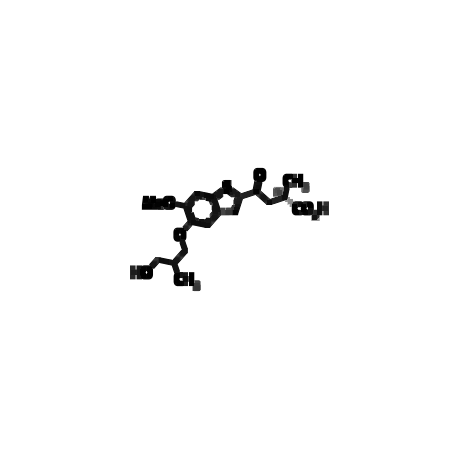 COc1cc2sc(C(=O)C[C@H](C)C(=O)O)cc2cc1OCC(C)CO